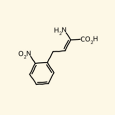 N/C(=C\Cc1ccccc1[N+](=O)[O-])C(=O)O